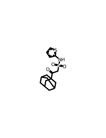 O=C(CS(=O)(=O)Nc1cccs1)C12CC3CC(CC(C3)C1)C2